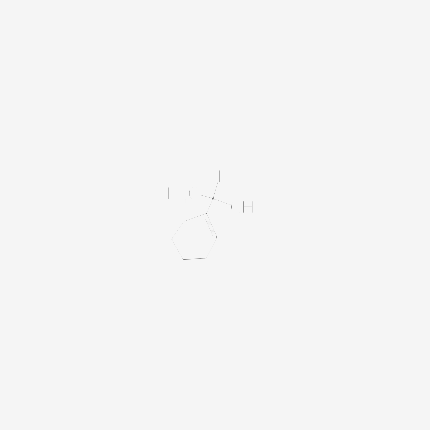 CC(C)(I)C1=CCCCC1